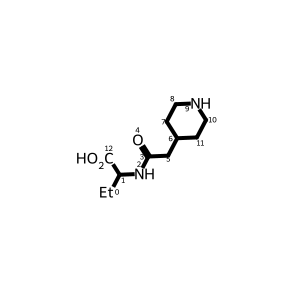 CCC(NC(=O)CC1CCNCC1)C(=O)O